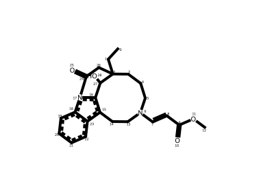 CCC12CCCN(/C=C/C(=O)OC)CCc3c(n(c4ccccc34)C(=O)C1)C2O